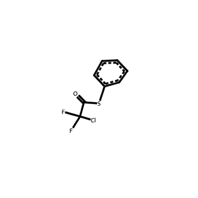 O=C(Sc1ccccc1)C(F)(F)Cl